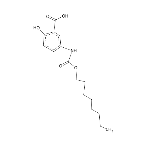 CCCCCCCCOC(=O)Nc1ccc(O)c(C(=O)O)c1